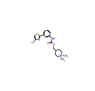 C[N+]1(C)CCC(COC(=O)Nc2cccc(-c3nc(Cl)cs3)c2)CC1